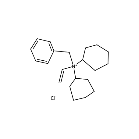 C=C[N+](Cc1ccccc1)(C1CCCCC1)C1CCCCC1.[Cl-]